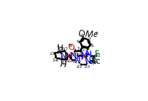 COc1ccc2c(c1)c(C(=O)N[C@H]1C[C@H]3CC[C@@H](C1)N3CCN1CCN(C(C)=O)CC1)nn2C(F)F